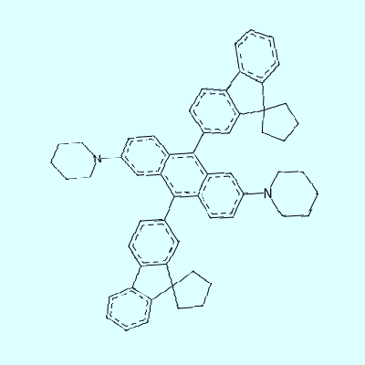 c1ccc2c(c1)-c1ccc(-c3c4ccc(N5CCCCC5)cc4c(-c4ccc5c(c4)C4(CCCC4)c4ccccc4-5)c4ccc(N5CCCCC5)cc34)cc1C21CCCC1